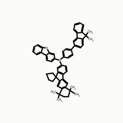 CC1(C)CCC(C)(C)c2cc3c(cc21)-c1ccc(N(c2ccc(-c4ccc5c(c4)-c4ccccc4C5(C)C)cc2)c2ccc4c(c2)oc2ccccc24)cc1C31CCCC1